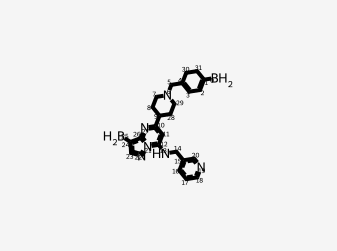 BC1=CC=C(CN2CCC(c3cc(NCc4cccnc4)n4ncc(B)c4n3)CC2)CC1